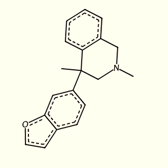 CN1Cc2ccccc2C(C)(c2ccc3ccoc3c2)C1